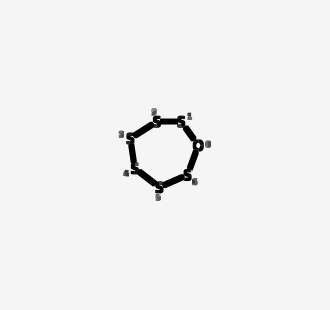 o1ssssss1